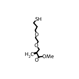 C=C(COCCOCCCS)C(=O)OC